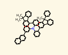 CC1(C)c2ccccc2-c2c(-c3ccccc3N(c3cccc(-c4ccc5ccccc5c4)c3)c3ccccc3-c3ccc4c(c3)-c3ccccc3C4(C)c3ccccc3)cccc21